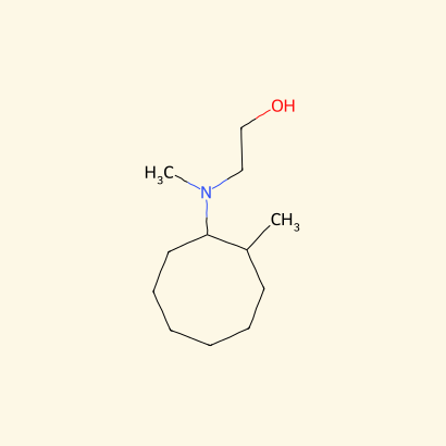 CC1CCCCCCC1N(C)CCO